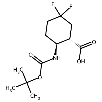 CC(C)(C)OC(=O)N[C@H]1CCC(F)(F)C[C@@H]1C(=O)O